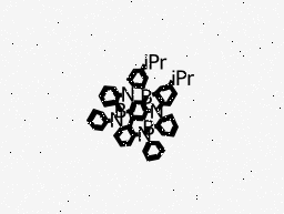 CC(C)c1ccc2c(c1)B1c3cc(C(C)C)ccc3N3c4ccccc4B4c5c6c7c(c1c53)N2c1ccccc1B7N(c1ccccc1)c1cccc(c1-6)N4c1ccccc1